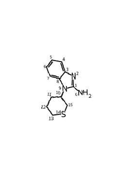 Nc1nc2ccccc2n1C1CCCSC1